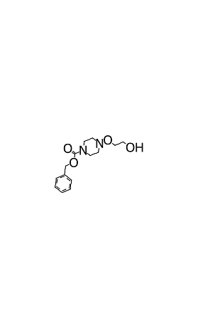 O=C(OCc1ccccc1)N1CCN(OCCO)CC1